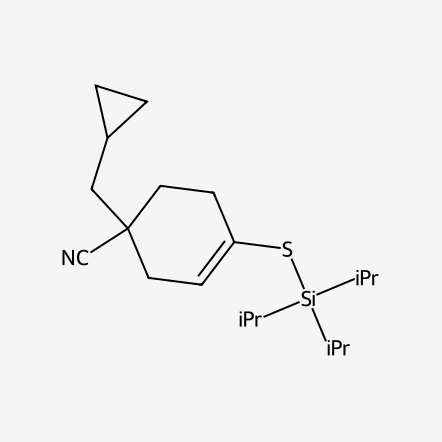 CC(C)[Si](SC1=CCC(C#N)(CC2CC2)CC1)(C(C)C)C(C)C